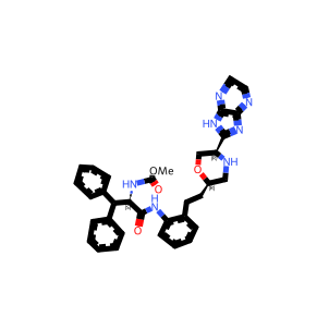 COC(=O)N[C@H](C(=O)Nc1ccccc1CC[C@@H]1CN[C@H](c2nc3nccnc3[nH]2)CO1)C(c1ccccc1)c1ccccc1